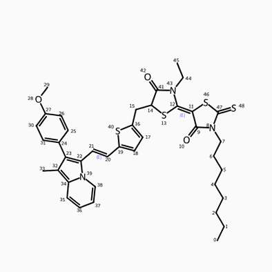 CCCCCCCCN1C(=O)/C(=C2\SC(Cc3ccc(/C=C/c4c(-c5ccc(OC)cc5)c(C)c5ccccn45)s3)C(=O)N2CC)SC1=S